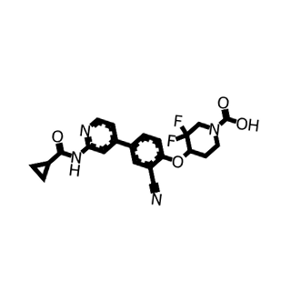 N#Cc1cc(-c2ccnc(NC(=O)C3CC3)c2)ccc1OC1CCN(C(=O)O)CC1(F)F